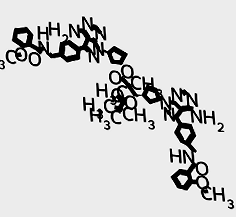 COc1ccccc1C(=O)NCc1ccc(-c2nn([C@H]3C=C[C@@H](OC(=O)C(C)(C)C(OC(=O)C(C)(C)C)[C@@H]4C=C[C@H](n5nc(-c6ccc(CNC(=O)c7ccccc7OC)cc6)c6c(N)ncnc65)C4)C3)c3ncnc(N)c23)cc1